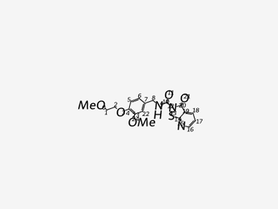 COCCOc1ccc(CNC(=O)n2sc3ncccc3c2=O)cc1OC